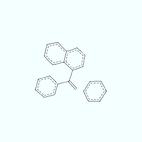 C=C(c1ccccc1)c1cccc2ccccc12.c1ccccc1